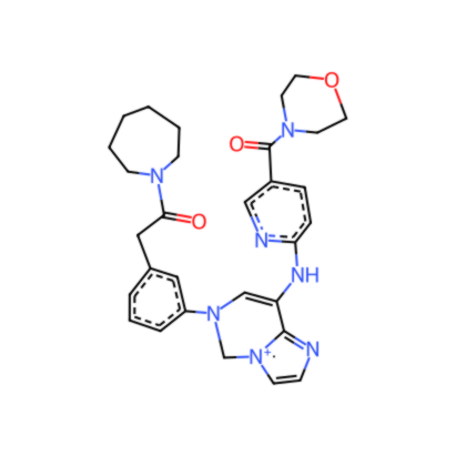 O=C(Cc1cccc(N2C=C(Nc3ccc(C(=O)N4CCOCC4)cn3)C3=NC=C[N+]3C2)c1)N1CCCCCC1